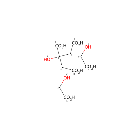 O=C(O)CC(O)(CC(=O)O)C(=O)O.O=C(O)CO.O=C(O)CO